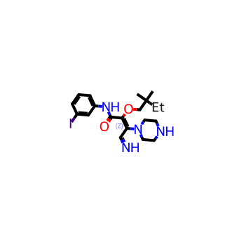 CCC(C)(C)CO/C(C(=O)Nc1cccc(I)c1)=C(/C=N)N1CCNCC1